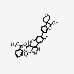 C[C@@H](OC(=O)Nc1c(-c2cc(F)c(-c3ccc(C4(C(=O)O)CCOCC4)cc3)cc2F)nnn1C)c1ccccc1